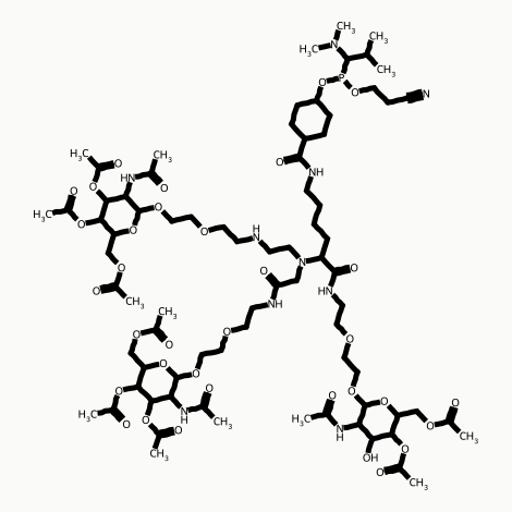 CC(=O)NC1C(OCCOCCNC(=O)C(CCCCNC(=O)C2CCC(OP(OCCC#N)C(C(C)C)N(C)C)CC2)N(CCNCCOCCOC2OC(COC(C)=O)C(OC(C)=O)C(OC(C)=O)C2NC(C)=O)CC(=O)NCCOCCOC2OC(COC(C)=O)C(OC(C)=O)C(OC(C)=O)C2NC(C)=O)OC(COC(C)=O)C(OC(C)=O)C1O